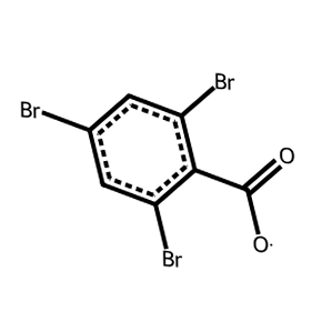 [O]C(=O)c1c(Br)cc(Br)cc1Br